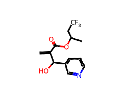 C=C(C(=O)OC(C)CC(F)(F)F)C(O)c1cccnc1